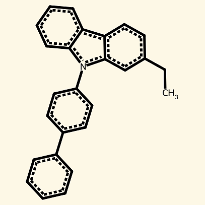 CCc1ccc2c3ccccc3n(-c3ccc(-c4ccccc4)cc3)c2c1